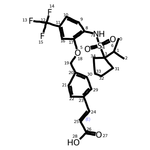 CC(C)C1(S(=O)(=O)Nc2ccc(C(F)(F)F)cc2OCc2ccc(/C=C/C(=O)O)cc2)CCCC1